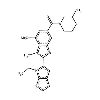 COc1cc(C(=O)N2CCCC(N)C2)cc2nc(-c3cc4ccsc4n3CC(F)(F)F)n(C)c12